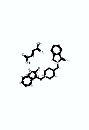 O=C(O)C=CC(=O)O.O=C1c2ccccc2CN1CC1CCN(Cc2c(Br)oc3ccccc23)CC1